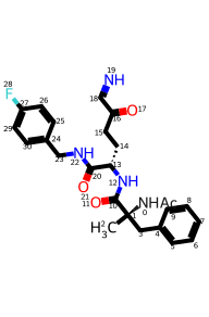 CC(=O)N[C@](C)(Cc1ccccc1)C(=O)N[C@@H](CCC(=O)C=N)C(=O)NCc1ccc(F)cc1